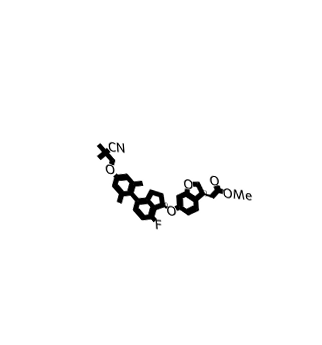 COC(=O)C[C@@H]1COc2cc(O[C@@H]3CCc4c(-c5c(C)cc(OCC(C)(C)C#N)cc5C)ccc(F)c43)ccc21